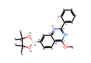 COc1nc(-c2ccccc2)nc2cc(B3OC(C)(C)C(C)(C)O3)ccc12